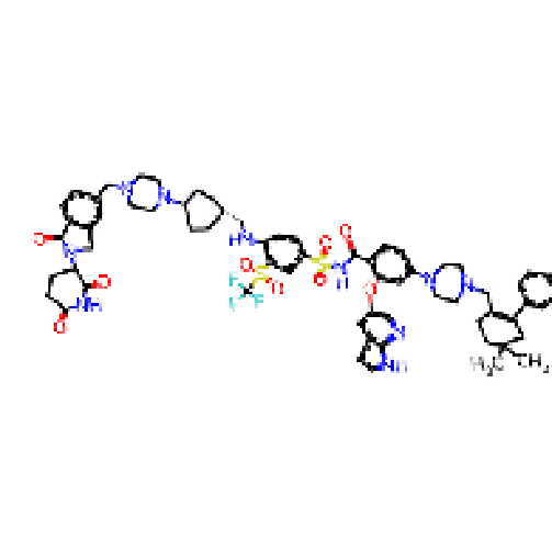 CC1(C)CCC(CN2CCN(c3ccc(C(=O)NS(=O)(=O)c4ccc(NC[C@H]5CC[C@H](N6CCN(Cc7ccc8c(c7)CN(C7CCC(=O)NC7=O)C8=O)CC6)CC5)c(S(=O)(=O)C(F)(F)F)c4)c(Oc4cnc5[nH]ccc5c4)c3)CC2)=C(c2ccc(Cl)cc2)C1